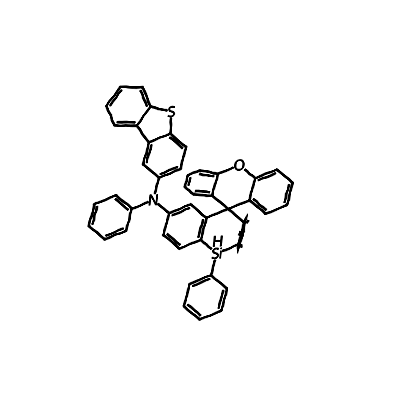 c1ccc(N(c2ccc3c(c2)C2(c4ccccc4Oc4ccccc42)c2ccccc2[SiH]3c2ccccc2)c2ccc3sc4ccccc4c3c2)cc1